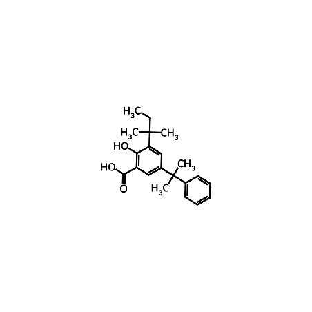 CCC(C)(C)c1cc(C(C)(C)c2ccccc2)cc(C(=O)O)c1O